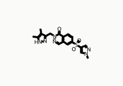 Cc1[nH]nc(Cn2ncc3cc(S(=O)(=O)c4cnn(C)c4)ccc3c2=O)c1C